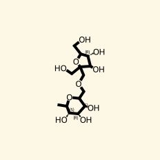 CC1OC(COCC2(CO)OC(CO)[C@H](O)C2O)[C@@H](O)[C@H](O)[C@@H]1O